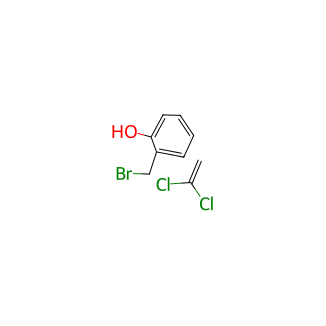 C=C(Cl)Cl.Oc1ccccc1CBr